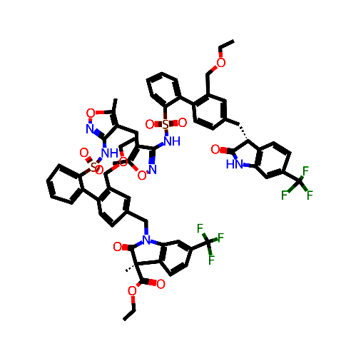 CCOCc1cc(C[C@H]2C(=O)Nc3cc(C(F)(F)F)ccc32)ccc1-c1ccccc1S(=O)(=O)Nc1noc(C)c1Cc1c(NS(=O)(=O)c2ccccc2-c2ccc(CN3C(=O)[C@](C)(C(=O)OCC)c4ccc(C(F)(F)F)cc43)cc2COCC)noc1C